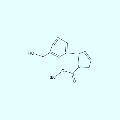 CC(C)(C)OC(=O)N1CC=CC1c1cccc(CO)c1